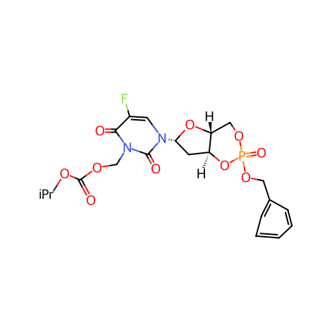 CC(C)OC(=O)OCn1c(=O)c(F)cn([C@H]2C[C@@H]3OP(=O)(OCc4ccccc4)OC[C@H]3O2)c1=O